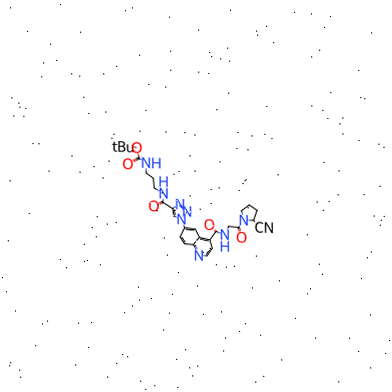 CC(C)(C)OC(=O)NCCCNC(=O)c1cn(-c2ccc3nccc(C(=O)NCC(=O)N4CCC[C@H]4C#N)c3c2)nn1